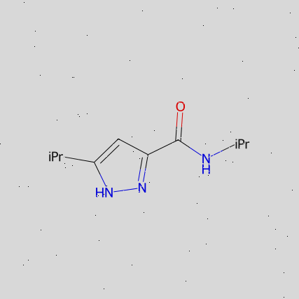 CC(C)NC(=O)c1cc(C(C)C)[nH]n1